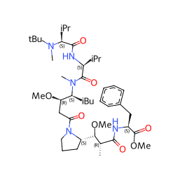 CCC(C)[C@@H]([C@@H](CC(=O)N1CCC[C@H]1C(OC)[C@@H](C)C(=O)N[C@@H](Cc1ccccc1)C(=O)OC)OC)N(C)C(=O)[C@@H](NC(=O)[C@H](C(C)C)N(C)C(C)(C)C)C(C)C